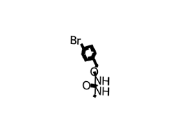 CNC(=O)NOCc1ccc(Br)cc1